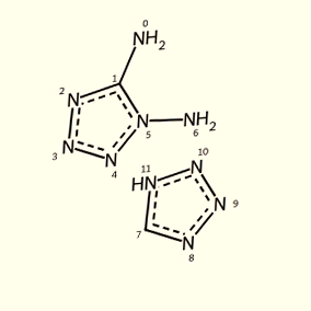 Nc1nnnn1N.c1nnn[nH]1